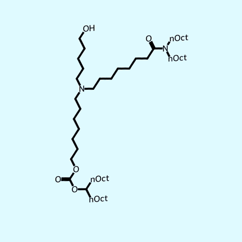 CCCCCCCCC(CCCCCCCC)OC(=O)OCCCCCCCN(CCCCCO)CCCCCCCC(=O)N(CCCCCCCC)CCCCCCCC